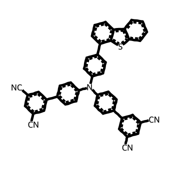 N#Cc1cc(C#N)cc(-c2ccc(N(c3ccc(-c4cc(C#N)cc(C#N)c4)cc3)c3ccc(-c4cccc5c4sc4ccccc45)cc3)cc2)c1